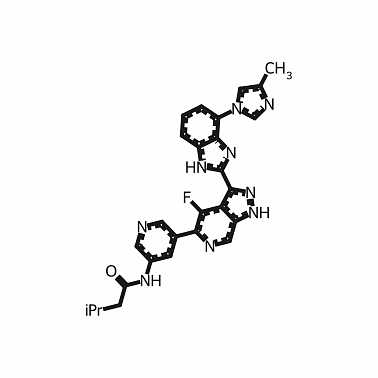 Cc1cn(-c2cccc3[nH]c(-c4n[nH]c5cnc(-c6cncc(NC(=O)CC(C)C)c6)c(F)c45)nc23)cn1